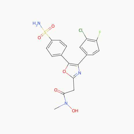 CN(O)C(=O)Cc1nc(-c2ccc(F)c(Cl)c2)c(-c2ccc(S(N)(=O)=O)cc2)o1